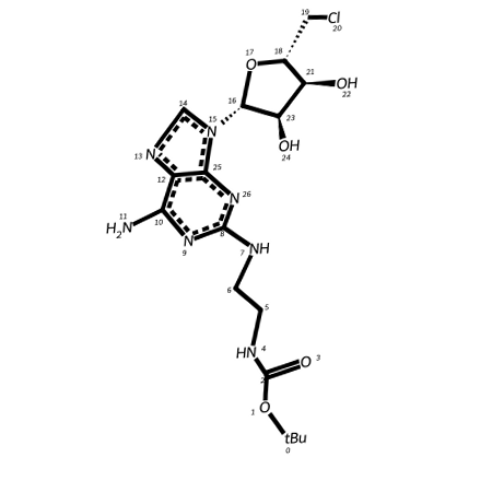 CC(C)(C)OC(=O)NCCNc1nc(N)c2ncn([C@@H]3O[C@H](CCl)[C@@H](O)[C@H]3O)c2n1